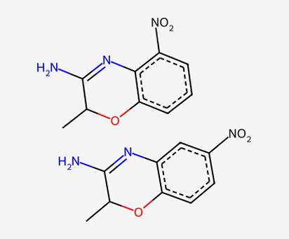 CC1Oc2ccc([N+](=O)[O-])cc2N=C1N.CC1Oc2cccc([N+](=O)[O-])c2N=C1N